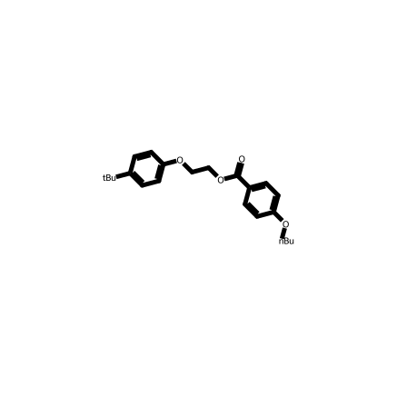 CCCCOc1ccc(C(=O)OCCOc2ccc(C(C)(C)C)cc2)cc1